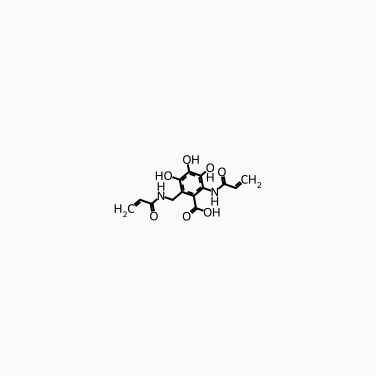 C=CC(=O)NCc1c(O)c(O)c(O)c(NC(=O)C=C)c1C(=O)O